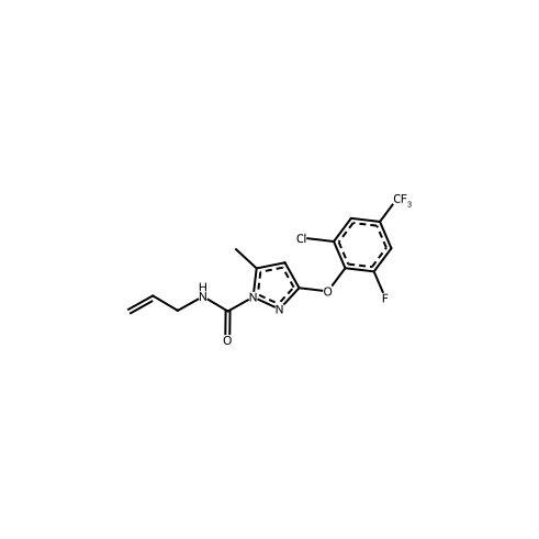 C=CCNC(=O)n1nc(Oc2c(F)cc(C(F)(F)F)cc2Cl)cc1C